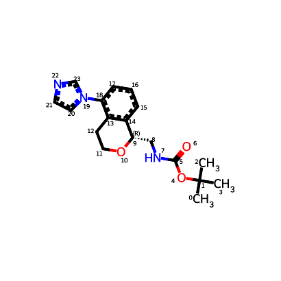 CC(C)(C)OC(=O)NC[C@@H]1OCCc2c1cccc2-n1ccnc1